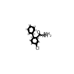 NNC(=O)c1cc(Cl)ccc1-c1ccccc1